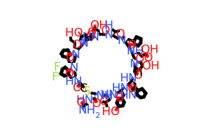 CCCC[C@H]1C(=O)N2C[C@@H](O)C[C@@H]2C(=O)N[C@@H](CC(=O)O)C(=O)N[C@@H](C(C)C)C(=O)N(C)[C@@H](Cc2ccccc2)C(=O)N[C@@H](CCC(=O)O)C(=O)N2C[C@@H](O)C[C@@H]2C(=O)N[C@@H](Cc2c[nH]c3ccccc23)C(=O)N[C@@H](Cc2ccc(O)cc2)C(=O)N[C@@H](CC(C)C)C(=O)N[C@H](C(=O)NCC(N)=O)CSCC(=O)N[C@@H](Cc2ccc(F)c(F)c2)C(=O)N(C)[C@@H](Cc2ccccc2)C(=O)N1C